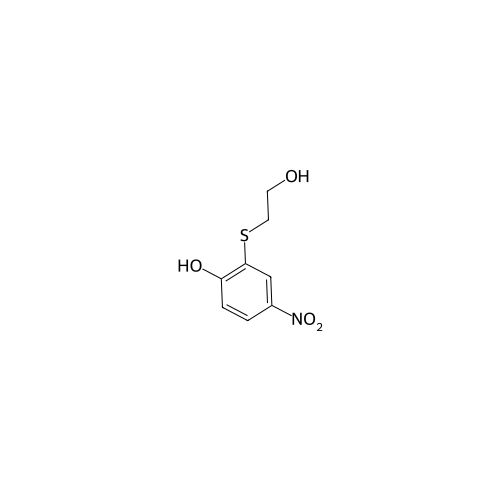 O=[N+]([O-])c1ccc(O)c(SCCO)c1